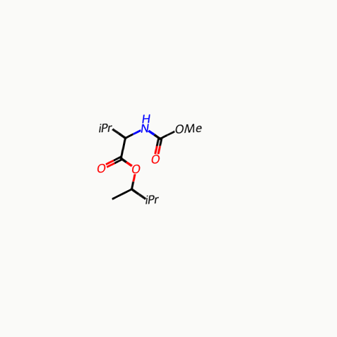 COC(=O)NC(C(=O)OC(C)C(C)C)C(C)C